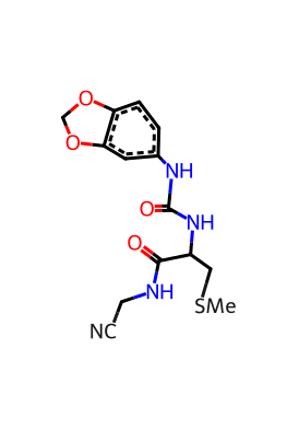 CSCC(NC(=O)Nc1ccc2c(c1)OCO2)C(=O)NCC#N